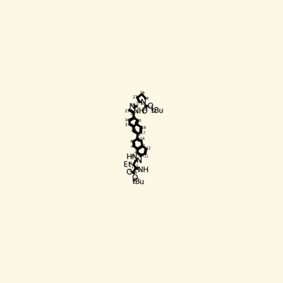 CC[C@@H](C(=N)C(=O)OC(C)(C)C)c1nc2ccc3cc(-c4ccc5cc(-c6cnc([C@@H]7CCCN7C(=O)OC(C)(C)C)[nH]6)ccc5c4)ccc3c2[nH]1